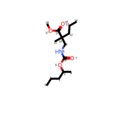 CCCC(C)OC(=O)NCC(C)(CCC)C(=O)OC